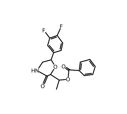 CC(OC(=O)c1ccccc1)C1OC(c2ccc(F)c(F)c2)CNC1=O